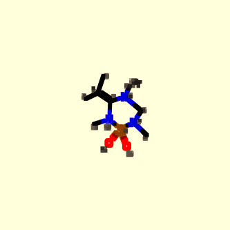 CC(C)=C1N(C(C)C)CN(C)S(=O)(=O)N1C